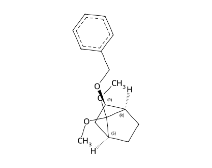 COC1(OC)[C@H]2CC[C@@H]1[C@H](OCc1ccccc1)C2